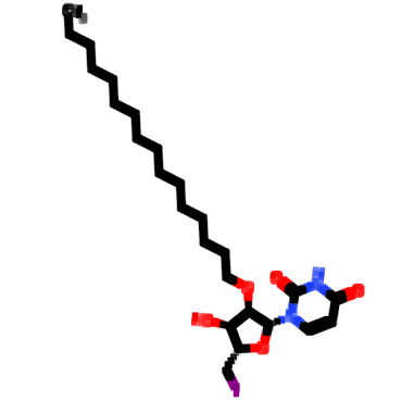 CCCCCCCCCCCCCCCCO[C@@H]1[C@H](O)[C@@H](CI)O[C@H]1n1ccc(=O)[nH]c1=O